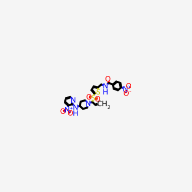 C=CC(N1CCC(Nc2ncccc2[N+](=O)[O-])CC1)S(=O)(=O)c1ccc(CNC(=O)c2ccc([N+](=O)[O-])cc2)s1